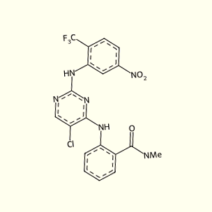 CNC(=O)c1ccccc1Nc1nc(Nc2cc([N+](=O)[O-])ccc2C(F)(F)F)ncc1Cl